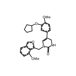 COc1ccc(C2=CN(Cc3occ4cccc(OC)c34)C(=O)NC2)cc1OC1CCCC1